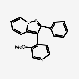 COc1cnccc1-c1c(-c2ccccc2)nn2ccccc12